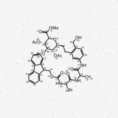 COC(=O)C1O[C@@H](CCc2cc(NC(=O)C(C)NC(=O)C(NC(=O)OCC3c4ccccc4-c4ccccc43)C(C)C)ccc2CO)[C@H](OC(C)=O)[C@@H](OC(C)=O)[C@@H]1OC(C)=O